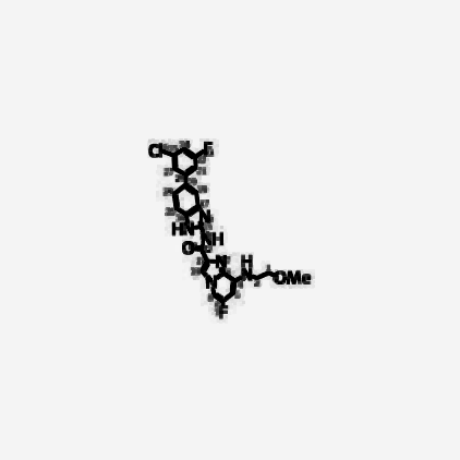 COCCNc1cc(F)cn2cc(C(=O)Nc3nc4cc(-c5cc(F)cc(Cl)c5)ccc4[nH]3)nc12